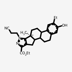 CCOC(=O)c1nn(CCC#N)c2c1CC1C3CCc4cc(O)c(CC)cc4C3CC[C@]21C